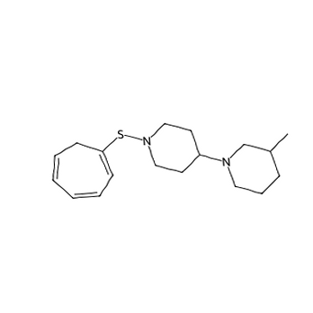 CC1CCCN(C2CCN(SC3=CC=CC=CC3)CC2)C1